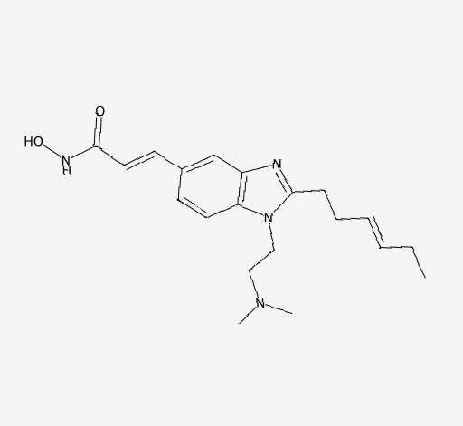 CC/C=C/CCc1nc2cc(/C=C/C(=O)NO)ccc2n1CCN(C)C